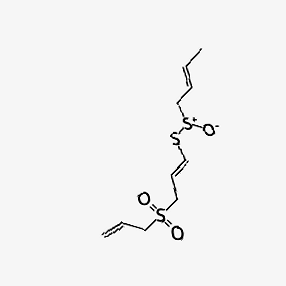 C=CCS(=O)(=O)C/C=C/S[S+]([O-])C/C=C/C